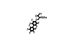 CNC(CSc1c(F)c(F)c(-c2c(F)c(F)c(F)c(F)c2F)c(F)c1F)C(=O)C(C)C